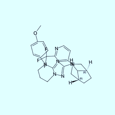 COc1ccc(N2CCCn3nc(NC4[C@@H]5CC[C@@H]4CN(c4ccnc(C(F)(F)F)c4)C5)nc32)cc1